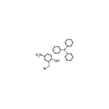 O=[N+]([O-])c1ccc(O)c(CBr)c1.c1ccc(P(c2ccccc2)c2ccccc2)cc1